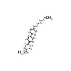 CCCCCCCCC1CCC(c2ccc(C3CCC(CC)CC3)cc2)CC1